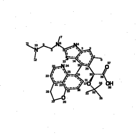 Cc1cc2nc(N(C)CCN(C)C)sc2c(-c2ccc3c4c(ccnc24)CCO3)c1[C@H](OC(C)(C)C)C(=O)O